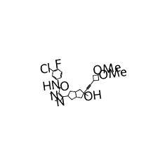 COC1(OC)CC(C#CC2(O)CC3CC(c4ncn(C)c4C(=O)Nc4ccc(F)c(Cl)c4)CC3C2)C1